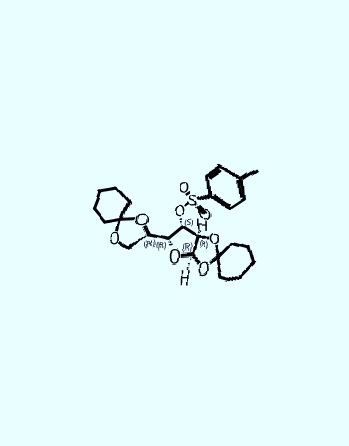 Cc1ccc(S(=O)(=O)O[C@@H]2[C@H]3OC4(CCCCC4)O[C@H]3O[C@@H]2[C@H]2COC3(CCCCC3)O2)cc1